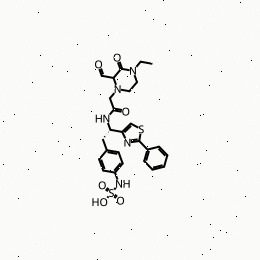 CCN1CCN(CC(=O)N[C@@H](Cc2ccc(NS(=O)(=O)O)cc2)c2csc(-c3ccccc3)n2)C(C=O)C1=O